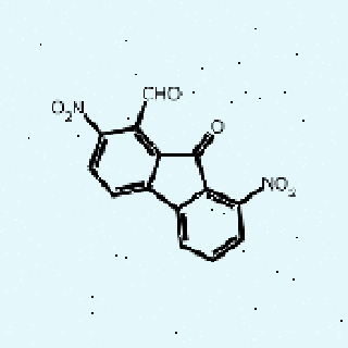 O=[C]c1c([N+](=O)[O-])ccc2c1C(=O)c1c-2cccc1[N+](=O)[O-]